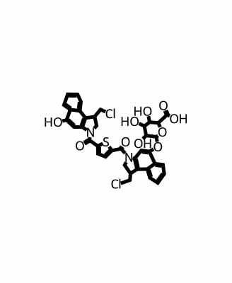 O=C(O)C1OC(Oc2cc3c(c4ccccc24)C(CCl)CN3C(=O)c2ccc(C(=O)N3CC(CCl)c4c3cc(O)c3ccccc43)s2)C(O)C(O)C1O